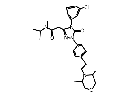 CC(C)NC(=O)Cc1nn(-c2ccc(CCN3C(C)COCC3C)cc2)c(=O)n1-c1cccc(Cl)c1